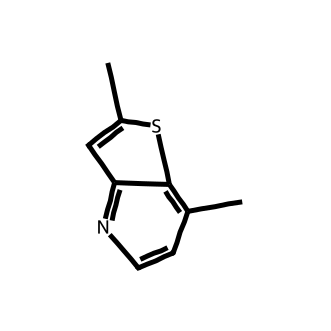 Cc1cc2nccc(C)c2s1